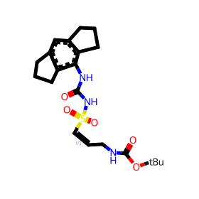 CC(C)(C)OC(=O)NC/C=C\S(=O)(=O)NC(=O)Nc1c2c(cc3c1CCC3)CCC2